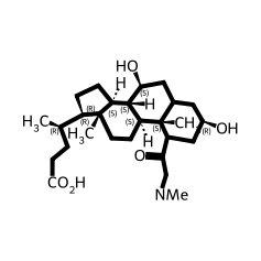 CNCC(=O)C1C[C@H](O)CC2C[C@H](O)[C@@H]3[C@H](CC[C@]4(C)[C@@H]([C@H](C)CCC(=O)O)CC[C@@H]34)[C@]21C